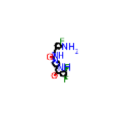 Nc1cc(CNC(=O)N2CCC3(CC2)CC(=O)c2cc(F)cc(F)c2N3)ccc1F